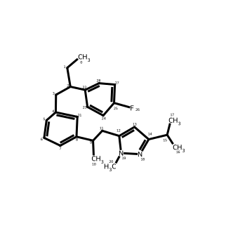 CCC(Cc1cccc(C(C)Cc2cc(C(C)C)nn2C)c1)c1ccc(F)cc1